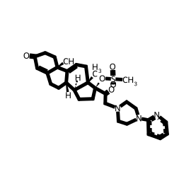 C[C@]12CCC(=O)C=C1CC[C@@H]1C2=CC[C@@]2(C)[C@H]1CC[C@]2(OS(C)(=O)=O)C(=O)CN1CCN(c2ccccn2)CC1